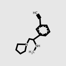 C#Cc1cccc(C(CN2CCCC2)NC)c1